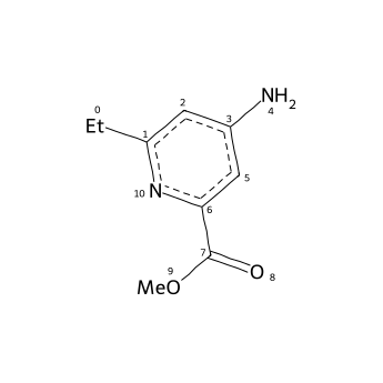 CCc1cc(N)cc(C(=O)OC)n1